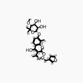 CO[C@@H]1[C@@H](O)[C@@H](O)[C@H](Oc2ccc3c(O)c(/C(C)=N\OCc4ccoc4)c(=O)oc3c2C)OC1(C)C